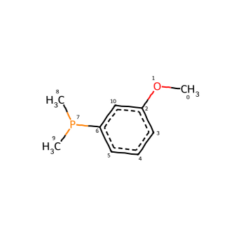 COc1cccc(P(C)C)c1